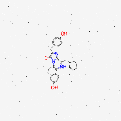 O=c1c(Cc2ccc(O)cc2)nc2c(CC3C=CC=CC3)[nH]c3c(n1-2)CCc1cc(O)ccc1-3